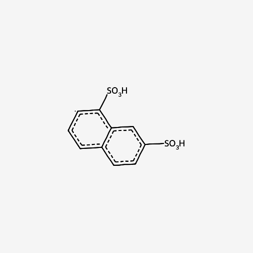 O=S(=O)(O)c1ccc2cc[c]c(S(=O)(=O)O)c2c1